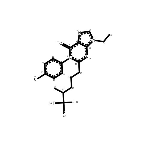 CCn1cnc2c(=O)n(-c3ccc(Cl)cc3)c(CCCC(C)C(F)(F)F)nc21